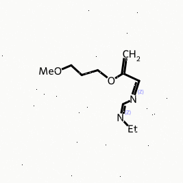 C=C(/C=N\C=N/CC)OCCCOC